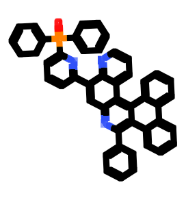 O=P(C1=CC=CCC1)(c1ccccc1)c1cccc(-c2cc3nc(-c4ccccc4)c4c5ccccc5c5ccccc5c4c3c3cccnc23)n1